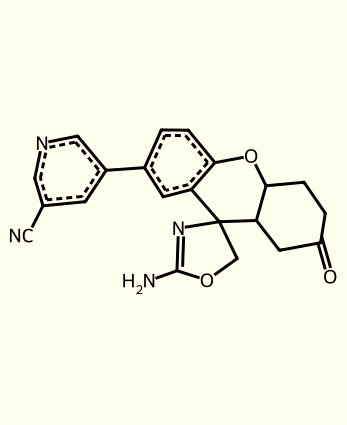 N#Cc1cncc(-c2ccc3c(c2)C2(COC(N)=N2)C2CC(=O)CCC2O3)c1